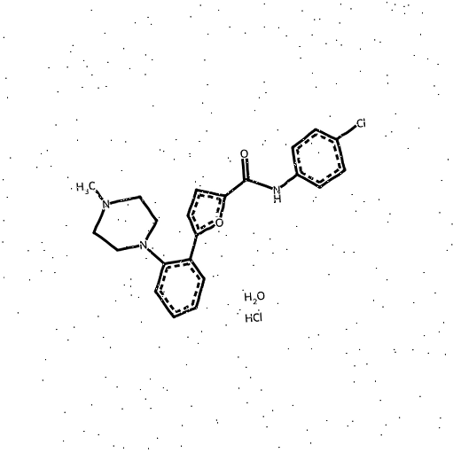 CN1CCN(c2ccccc2-c2ccc(C(=O)Nc3ccc(Cl)cc3)o2)CC1.Cl.O